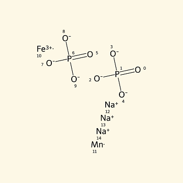 O=P([O-])([O-])[O-].O=P([O-])([O-])[O-].[Fe+3].[Mn].[Na+].[Na+].[Na+]